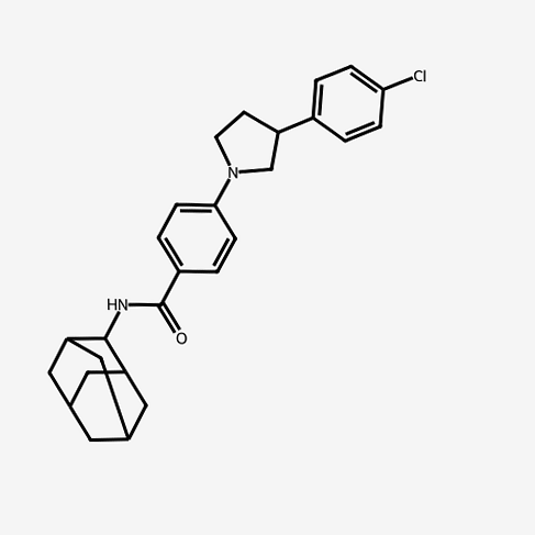 O=C(NC1C2CC3CC(C2)CC1C3)c1ccc(N2CCC(c3ccc(Cl)cc3)C2)cc1